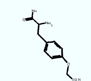 [NH]C(=O)C(N)Cc1ccc(OCC(=O)O)cc1